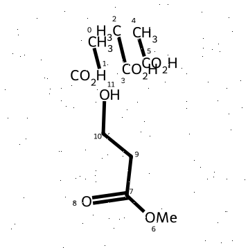 CC(=O)O.CC(=O)O.CC(=O)O.COC(=O)CCO